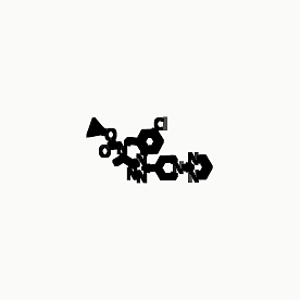 CC1c2nnc(C3CCN(c4ncccn4)CC3)n2-c2ccc(Cl)cc2CN1C(=O)OC1CC1